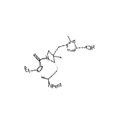 C=C(OCC)N1CC(C)(Cc2ccc(O)cc2C)[C@@H]1C[C@H](C)CCCCC